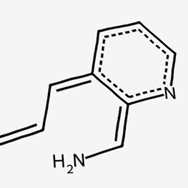 C=C/C=c1/cccn/c1=C/N